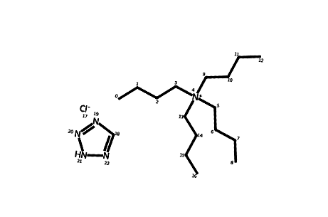 CCCC[N+](CCCC)(CCCC)CCCC.[Cl-].c1nn[nH]n1